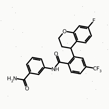 NC(=O)c1cccc(NC(=O)c2ccc(C(F)(F)F)cc2C2CCOc3cc(F)ccc32)c1